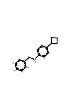 [CH]1CCC1c1ccc(OCc2ccccc2)cc1